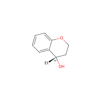 CC[C@]1(O)CCOc2ccccc21